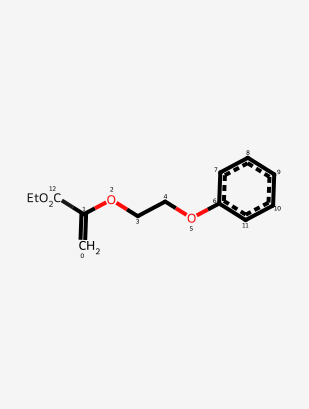 C=C(OCCOc1ccccc1)C(=O)OCC